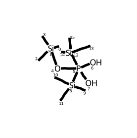 C[Si](C)(C)OP(O)(O)([Si](C)(C)C)[Si](C)(C)C